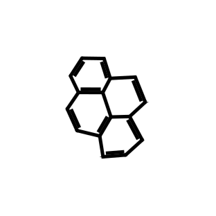 [c]1cc2cccc3ccc4[c]ccc1c4c23